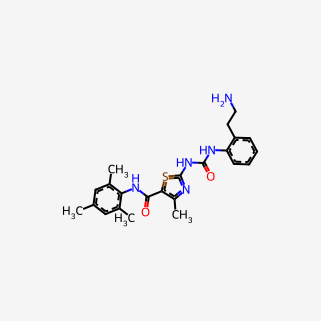 Cc1cc(C)c(NC(=O)c2sc(NC(=O)Nc3ccccc3CCN)nc2C)c(C)c1